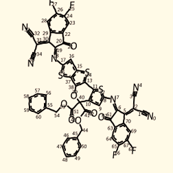 N#CC(C#N)=C1/C(=N/c2cc3c(s2)-c2sc4cc(/N=C5\C(=O)c6cc(F)c(F)cc6C5=C(C#N)C#N)sc4c2OC3(C(=O)OCc2ccccc2)C(=O)OCc2ccccc2)C(=O)c2cc(F)c(F)cc21